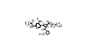 CC[C@H](Nc1cc(C(F)F)c(-c2sc(C(=O)NCC(C)(C)O)nc2C(=O)N2CCC[C@@H]2C)cn1)C(F)(F)F